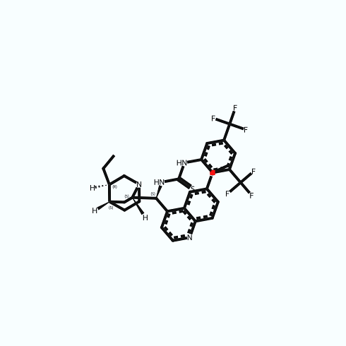 CC[C@H]1CN2CC[C@H]1C[C@H]2[C@@H](NC(=S)Nc1cc(C(F)(F)F)cc(C(F)(F)F)c1)c1ccnc2ccc(OC)cc12